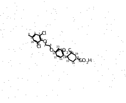 Cc1cc(Cl)c(OCCOc2ccc([C@H]3CCN(C(=O)O)C[C@@H]3C(=O)O)cc2)c(Cl)c1